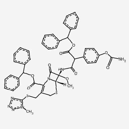 CO[C@@]1(NC(=O)C(C(=O)OC(c2ccccc2)c2ccccc2)c2ccc(OC(N)=O)cc2)C(=O)N2C(C(=O)OC(c3ccccc3)c3ccccc3)=C(CSc3nnnn3C)CS[C@H]21